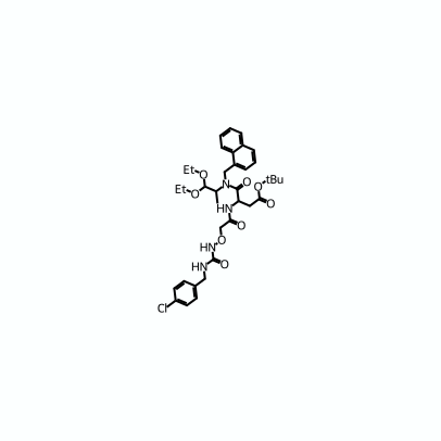 CCOC(OCC)C(C)N(Cc1cccc2ccccc12)C(=O)C(CC(=O)OC(C)(C)C)NC(=O)CONC(=O)NCc1ccc(Cl)cc1